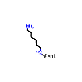 [CH2]CCCCNCCCCCCN